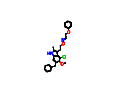 COc1c(Cc2ccccc2)cc2[nH]c(C)c(CCON=CCOc3ccccc3)c2c1Cl